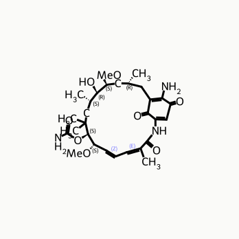 CO[C@H]1/C=C\C=C(/C)C(=O)NC2=CC(=O)C(N)=C(C[C@@H](C)C[C@H](OC)[C@H](O)[C@@H](C)CC(C)(C)[C@@H]1OC(N)=O)C2=O